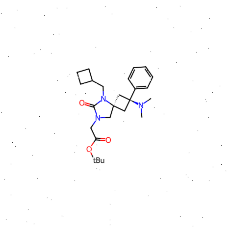 CN(C)[C@]1(c2ccccc2)C[C@@]2(CN(CC(=O)OC(C)(C)C)C(=O)N2CC2CCC2)C1